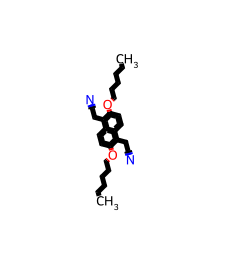 CCCCCCOc1ccc2c(CC#N)c(OCCCCCC)ccc2c1CC#N